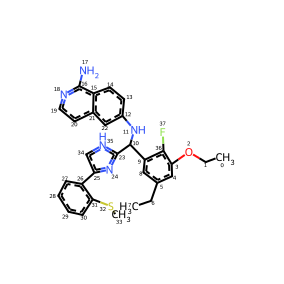 CCOc1cc(CC)cc(C(Nc2ccc3c(N)nccc3c2)c2nc(-c3ccccc3SC)c[nH]2)c1F